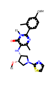 CCO[C@H]1CN(c2nccs2)C[C@H]1Nc1c(C)nc(-c2ccc(OC)cc2C)n(CC)c1=O